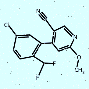 COc1cc(-c2cc(Cl)ccc2C(F)F)c(C#N)cn1